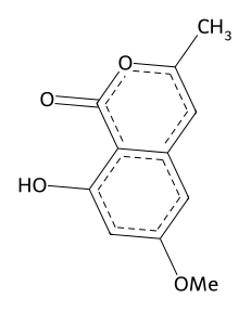 COc1cc(O)c2c(=O)oc(C)cc2c1